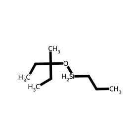 CCC[SiH2]OC(C)(CC)CC